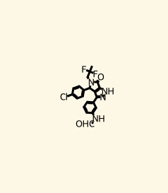 CC(F)(F)CN1C(=O)c2[nH]nc(-c3cccc(NC=O)c3)c2C1c1ccc(Cl)cc1